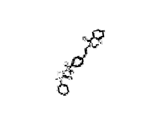 O=C(NC1CCCCC1)NS(=O)(=O)c1ccc(CCn2cnc3ccccc3c2=O)cc1